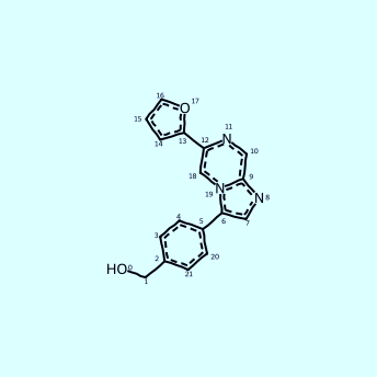 OCc1ccc(-c2cnc3cnc(-c4ccco4)cn23)cc1